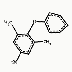 Cc1cc(C(C)(C)C)cc(C)c1Oc1ccccc1